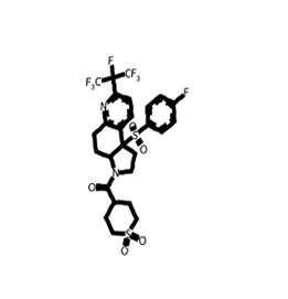 O=C(C1CCS(=O)(=O)CC1)N1CCC2(S(=O)(=O)c3ccc(F)cc3)c3ccc(C(F)(C(F)(F)F)C(F)(F)F)nc3CCC12